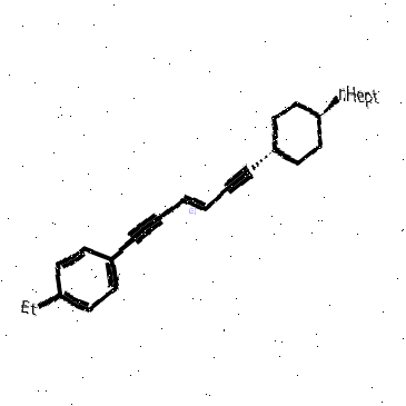 CCCCCCC[C@H]1CC[C@H](C#C/C=C/C#Cc2ccc(CC)cc2)CC1